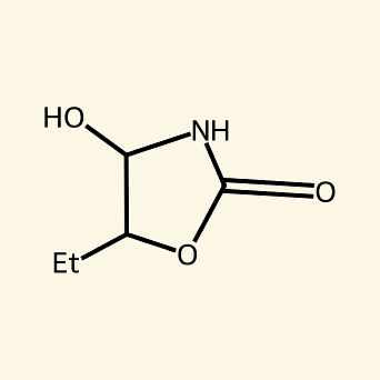 CCC1OC(=O)NC1O